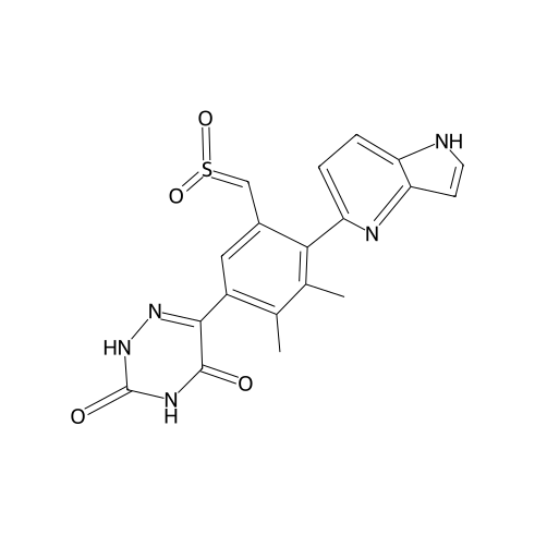 Cc1c(-c2n[nH]c(=O)[nH]c2=O)cc(C=S(=O)=O)c(-c2ccc3[nH]ccc3n2)c1C